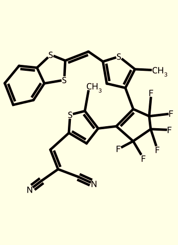 Cc1sc(C=C(C#N)C#N)cc1C1=C(c2cc(C=C3Sc4ccccc4S3)sc2C)C(F)(F)C(F)(F)C1(F)F